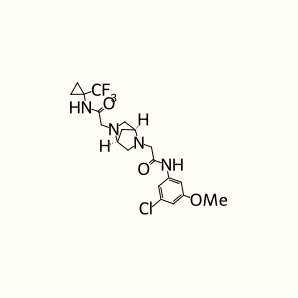 COc1cc(Cl)cc(NC(=O)CN2C[C@@H]3C[C@H]2CN3CC(=O)NC2(C(F)(F)F)CC2)c1